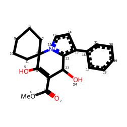 COC(=O)C1=C(O)C2(CCCCC2)n2ccc(-c3ccccc3)c2C1O